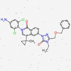 CCn1c(COCc2ccccc2)nn(-c2ccc3c(=O)n(-c4c(Cl)cc(N)cc4Cl)cc(C4(C)CC4)c3c2)c1=O